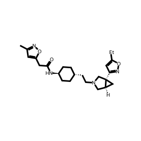 CCc1cc([C@]23C[C@H]2CN(CC[C@H]2CC[C@H](NC(=O)Cc4cc(C)no4)CC2)C3)no1